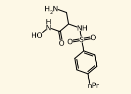 CCCc1ccc(S(=O)(=O)NC(CN)C(=O)NO)cc1